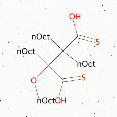 CCCCCCCCOC(CCCCCCCC)(C(O)=S)C(CCCCCCCC)(CCCCCCCC)C(O)=S